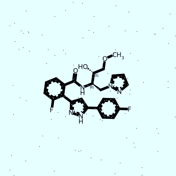 COC[C@@H](O)[C@@H](Cn1cccn1)NC(=O)c1cccc(F)c1-c1cc(-c2ccc(F)cc2)[nH]n1